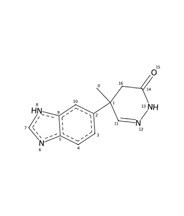 CC1(c2ccc3nc[nH]c3c2)C=NNC(=O)C1